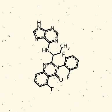 CCC(Nc1ncnc2[nH]cnc12)c1nc2cccc(F)c2c(=O)n1-c1c(F)cccc1F